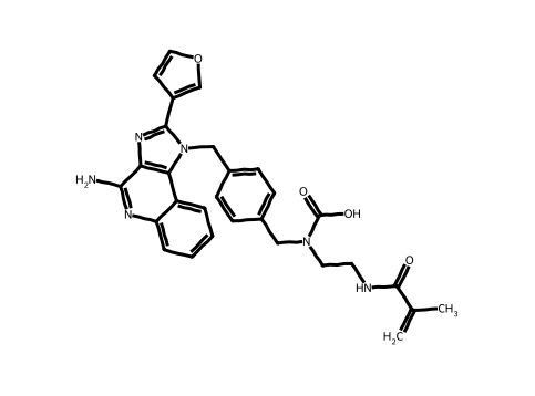 C=C(C)C(=O)NCCN(Cc1ccc(Cn2c(-c3ccoc3)nc3c(N)nc4ccccc4c32)cc1)C(=O)O